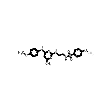 COc1ccc(Nc2cc(C)nc(NCCNS(=O)(=O)c3ccc(OC)cc3)n2)cc1